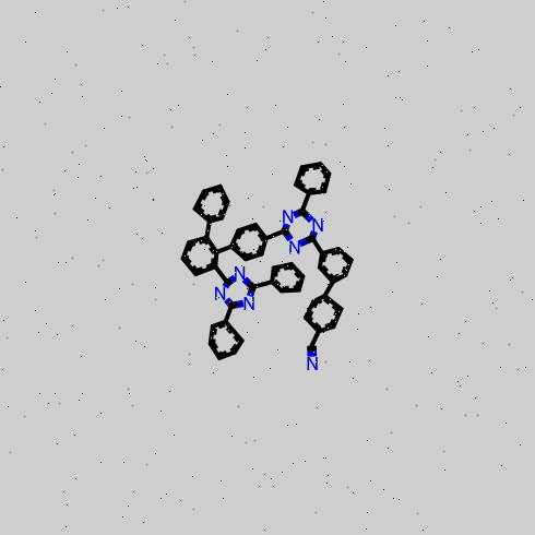 N#Cc1ccc(-c2cccc(-c3nc(-c4ccccc4)nc(-c4ccc(-c5c(-c6ccccc6)cccc5-c5nc(-c6ccccc6)nc(-c6ccccc6)n5)cc4)n3)c2)cc1